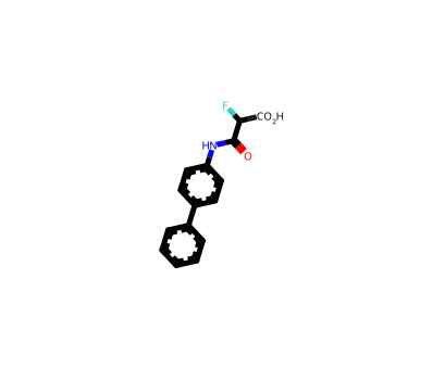 O=C(O)C(F)C(=O)Nc1ccc(-c2ccccc2)cc1